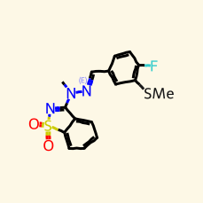 CSc1cc(/C=N/N(C)C2=NS(=O)(=O)c3ccccc32)ccc1F